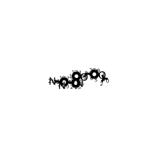 CC(C)Oc1ccc(COc2cccc3c(-c4ccc(C#N)nc4)ccnc23)cc1